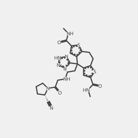 CNC(=O)c1cc2c(s1)CCc1sc(C(=O)NC)cc1C2(C[C@@H](C)NCC(=O)N1CCC[C@H]1C#N)c1nn[nH]n1